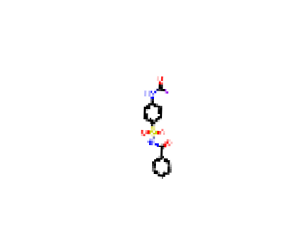 O=C(I)Nc1ccc(S(=O)(=O)NC(=O)c2ccccc2)cc1